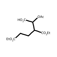 CCOC(=O)CCC(C(=O)OCC)C(OC(C)=O)C(=O)O